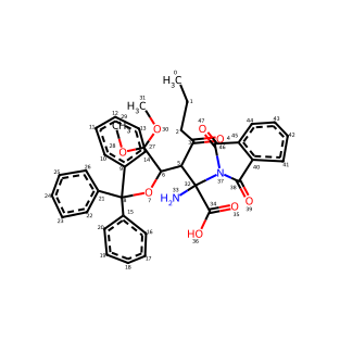 CCCC(=O)C(C(OC(c1ccccc1)(c1ccccc1)c1ccccc1)C(OC)OC)C(N)(C(=O)O)N1C(=O)c2ccccc2C1=O